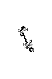 N#CN=C(NCCCCCC1CCN(C(=O)c2ccc[nH]2)C1)Nc1ccncc1F